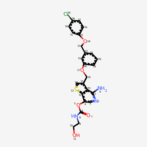 Nc1ncc(OC(=O)NCCO)c2scc(COc3cccc(COc4ccc(Cl)cc4)c3)c12